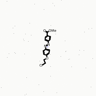 COC(=O)c1ccc(/N=N/c2ccc(OCCCl)cc2)cc1